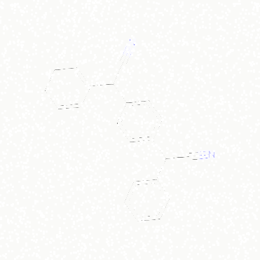 N#CC(C1=CCCC=C1)c1ccc(C(C#N)c2ccccc2)cc1